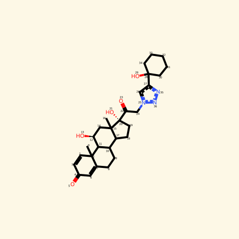 CC12C=CC(=O)C=C1CCC1C2[C@@H](O)CC2(C)C1CC[C@]2(O)C(=O)Cn1cc(C2(O)CCCCC2)nn1